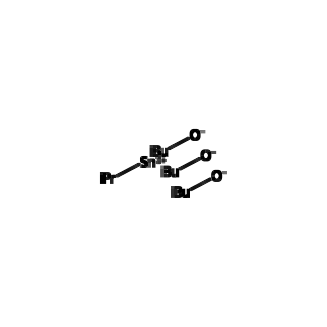 CCC(C)[O-].CCC(C)[O-].CCC(C)[O-].C[CH](C)[Sn+3]